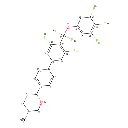 CCCC1CCC(c2ccc(-c3cc(F)c(C(F)(F)OC4=CC(F)=C(F)C(F)C4)c(F)c3)cc2)OC1